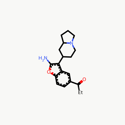 CCC(=O)c1ccc2oc(N)c(C3CCN4CCCC4C3)c2c1